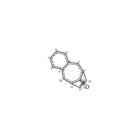 O=c1c2cc3ccccc3cc1C=C2